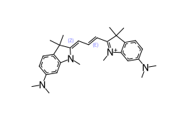 CN(C)c1ccc2c(c1)N(C)/C(=C\C=C\C1=[N+](C)c3cc(N(C)C)ccc3C1(C)C)C2(C)C